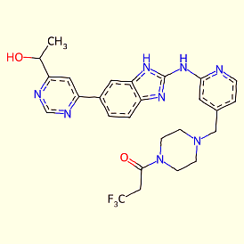 CC(O)c1cc(-c2ccc3nc(Nc4cc(CN5CCN(C(=O)CC(F)(F)F)CC5)ccn4)[nH]c3c2)ncn1